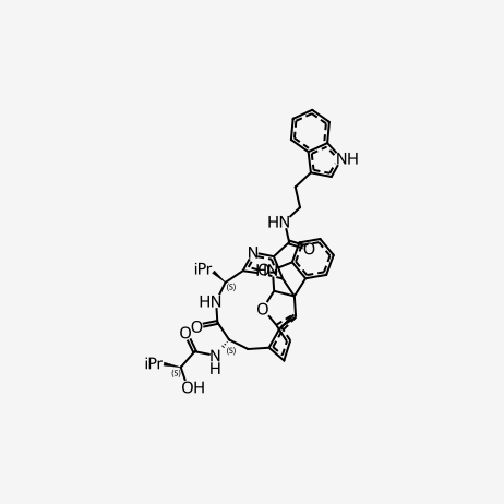 CC(C)[C@H](O)C(=O)N[C@H]1Cc2ccc3c(c2)C2(c4ccccc4NC2O3)c2oc(nc2C(=O)NCCc2c[nH]c3ccccc23)[C@H](C(C)C)NC1=O